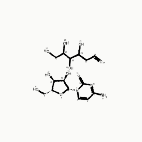 Nc1ccn([C@@H]2O[C@H](CO)[C@@H](O)[C@H]2O)c(=O)n1.O=CCC(O)C(O)C(O)CO